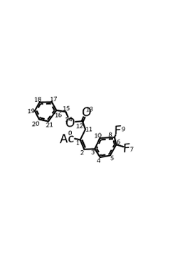 CC(=O)C(=Cc1ccc(F)c(F)c1)CC(=O)OCc1ccccc1